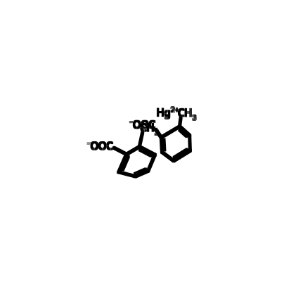 Cc1ccccc1C(=O)[O-].Cc1ccccc1C(=O)[O-].[Hg+2]